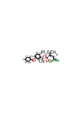 CC1(C)[C@H](C(=O)O[C@H](C#N)c2cccc(Oc3ccccc3)c2)[C@@H]1C=C(Br)Br